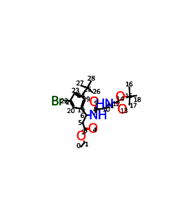 CCOC(=O)CC(NC(=O)CNC(=O)OC(C)(C)C)c1cc(Br)cc(C(C)(C)C)c1